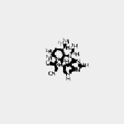 [2H]c1nc(N([C@@H]2[C@H](C([2H])([2H])[2H])CC([2H])([2H])N(C(=O)C[N+]#[C-])C2([2H])[2H])C([2H])([2H])[2H])c2cc[nH]c2n1